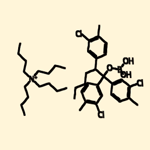 CCCCC(c1ccc(C)c(Cl)c1)C(OB(O)O)(c1ccc(C)c(Cl)c1)c1ccc(C)c(Cl)c1.CCCC[N+](CCCC)(CCCC)CCCC